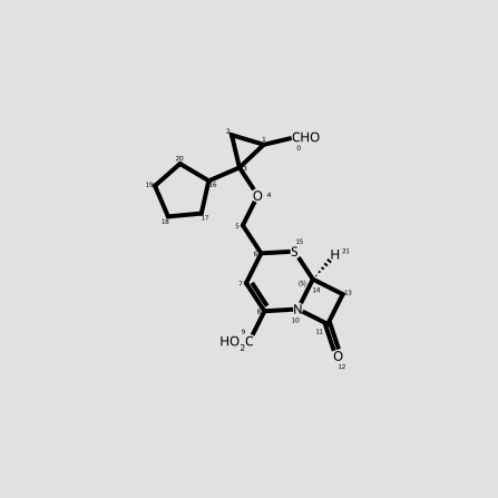 O=CC1CC1(OCC1C=C(C(=O)O)N2C(=O)C[C@@H]2S1)C1CCCC1